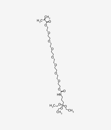 C=C(C)C(=O)OCCOCCOCCOCCOCCOCCOCCOCCOC(=O)NCCC[Si](OCC)(OCC)OCC